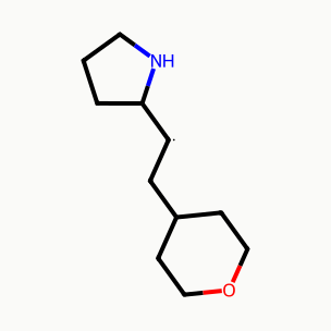 [CH](CC1CCOCC1)C1CCCN1